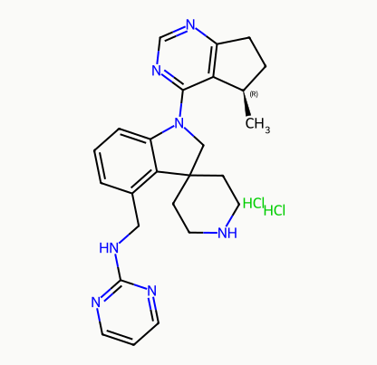 C[C@@H]1CCc2ncnc(N3CC4(CCNCC4)c4c(CNc5ncccn5)cccc43)c21.Cl.Cl